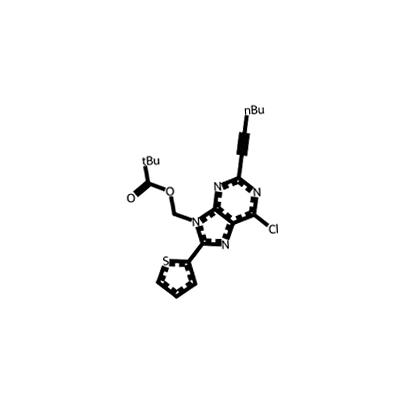 CCCCC#Cc1nc(Cl)c2nc(-c3cccs3)n(COC(=O)C(C)(C)C)c2n1